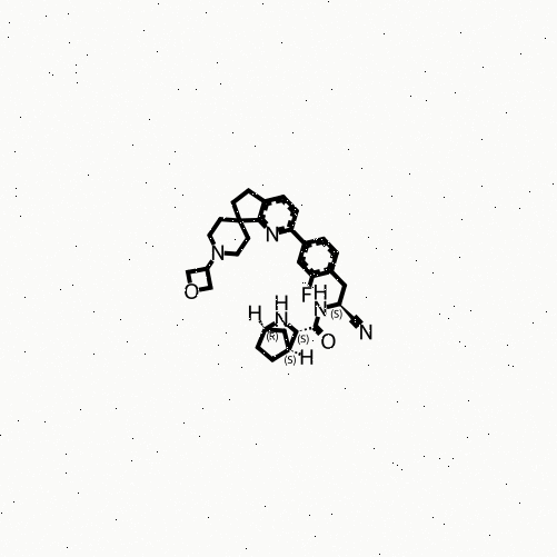 N#C[C@H](Cc1ccc(-c2ccc3c(n2)C2(CC3)CCN(C3COC3)CC2)cc1F)NC(=O)[C@H]1N[C@@H]2CC[C@H]1C2